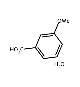 COc1cccc(C(=O)O)c1.O